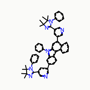 CC1(C)N=C(c2cncc(-c3ccc4c5c6ccccc6c(-c6cncc(C7=NC(C)(C)C(C)(C)N7c7ccccc7)c6)cc5n(-c5ccccc5)c4c3)c2)N(c2ccccc2)C1(C)C